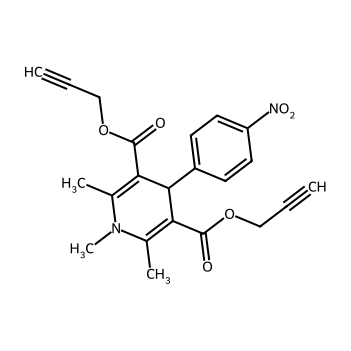 C#CCOC(=O)C1=C(C)N(C)C(C)=C(C(=O)OCC#C)C1c1ccc([N+](=O)[O-])cc1